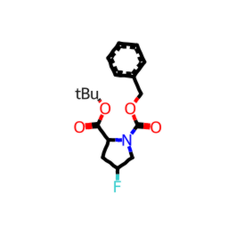 CC(C)(C)OC(=O)C1CC(F)CN1C(=O)OCc1ccccc1